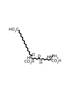 O=C(O)CCCCCCCCCCCCCCC(=O)N[C@@H](CCC(=O)NCCCC[C@H](NP)C(=O)O)C(=O)O